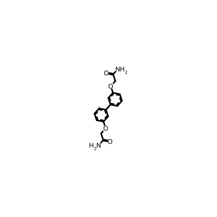 NC(=O)COc1cc[c]c(-c2cccc(OCC(N)=O)c2)c1